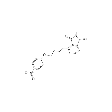 O=C1NC(=O)c2c(CCCCOc3ccc([N+](=O)[O-])cc3)cccc21